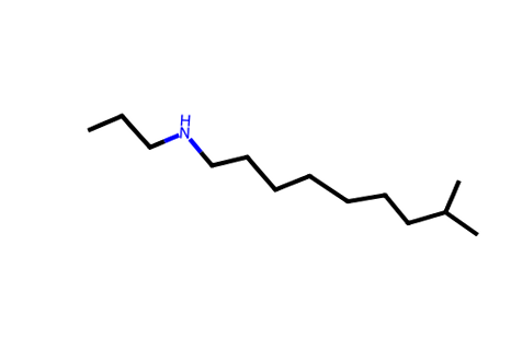 CCCNCCCCCCCC(C)C